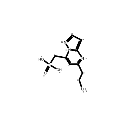 CCCc1cc(CP(=O)(O)O)n2nccc2n1